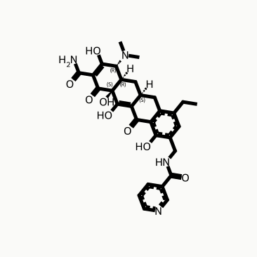 CCc1cc(CNC(=O)c2cccnc2)c(O)c2c1C[C@@H]1C[C@@H]3[C@@H](N(C)C)C(O)=C(C(N)=O)C(=O)[C@@]3(O)C(O)=C1C2=O